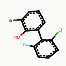 Oc1c(Br)cccc1-c1c(F)cccc1Cl